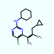 C/C(CC1CC1)=C(\C)c1nc(NC2CCCCC2)ncc1Cl